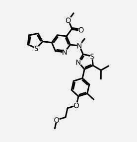 COCCOc1ccc(-c2nc(N(C)c3ncc(-c4cccs4)cc3C(=O)OC)sc2C(C)C)cc1C